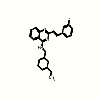 NCC1CCCC(CNc2nc(C=Cc3cccc(F)c3)nc3ccccc23)C1